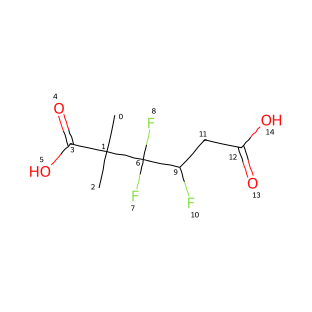 CC(C)(C(=O)O)C(F)(F)C(F)CC(=O)O